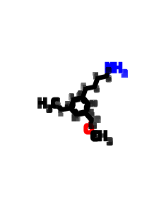 CCc1cc(CCCCN)cc(COC)c1